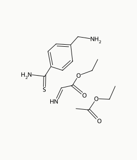 CCOC(=O)C=N.CCOC(C)=O.NCc1ccc(C(N)=S)cc1